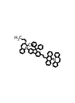 C=C/C=C\[C@@H]1C=Cc2ccccc2N(c2ccc3c(c2)C(c2ccccc2)(c2ccccc2)c2cc(/C=C/c4c5ccccc5c(N5c6ccccc6C=Cc6ccccc65)c5ccccc45)ccc2-3)C1C